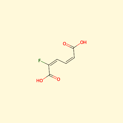 O=C(O)/C=C\C=C(\F)C(=O)O